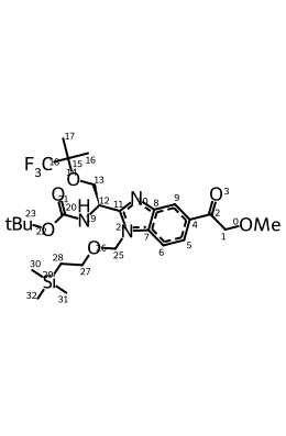 COCC(=O)c1ccc2c(c1)nc([C@H](COC(C)(C)C(F)(F)F)NC(=O)OC(C)(C)C)n2COCC[Si](C)(C)C